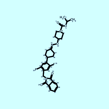 CC(C)OC(=O)N1CCC(ON=C2CCC(c3cc(F)c(CN4C(=O)c5ccccc5C4=O)cc3F)CC2)CC1